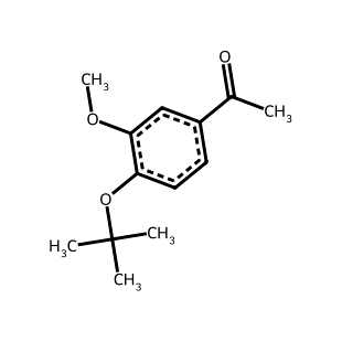 COc1cc(C(C)=O)ccc1OC(C)(C)C